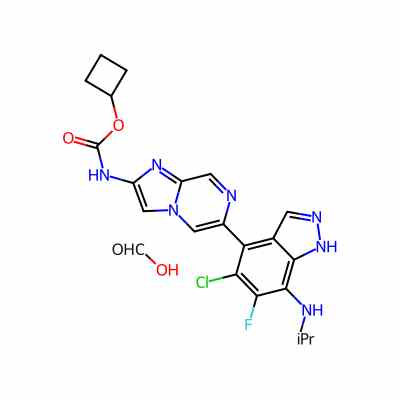 CC(C)Nc1c(F)c(Cl)c(-c2cn3cc(NC(=O)OC4CCC4)nc3cn2)c2cn[nH]c12.O=CO